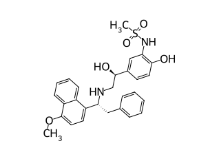 COc1ccc([C@@H](Cc2ccccc2)NC[C@@H](O)c2ccc(O)c(NS(C)(=O)=O)c2)c2ccccc12